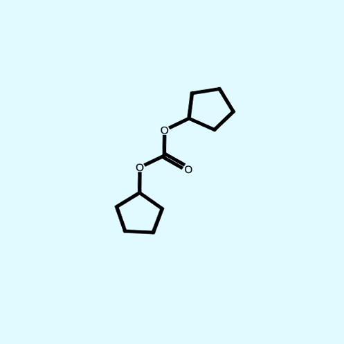 O=C(OC1CCCC1)OC1CCCC1